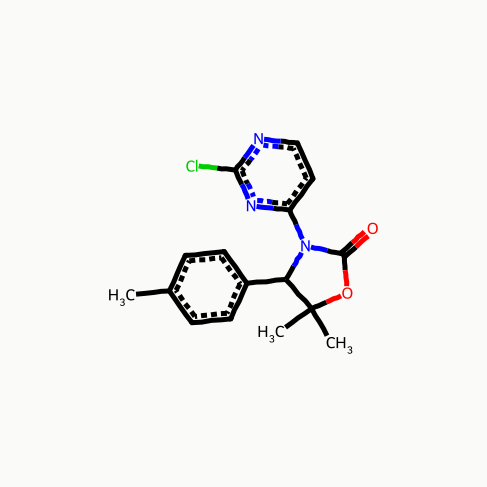 Cc1ccc(C2N(c3ccnc(Cl)n3)C(=O)OC2(C)C)cc1